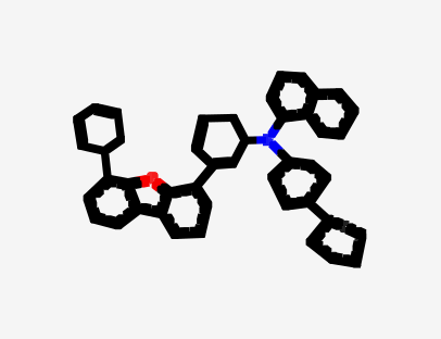 C1=CCC(c2cccc3c2oc2c(C4=CC(N(c5ccc(-c6ccccc6)cc5)c5cccc6ccccc56)CC=C4)cccc23)C=C1